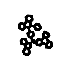 c1ccc(-c2c(-c3ccc(N(c4ccc5c6ccccc6c6ccccc6c5c4)c4cc5ccccc5c5ccccc45)cc3)c3ccccc3c3ccccc23)cc1